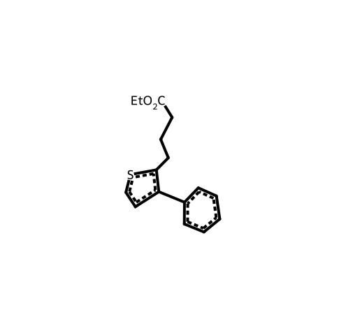 CCOC(=O)CCCc1sccc1-c1ccccc1